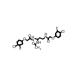 CC(=O)NC(CCNC(=O)COc1ccc(Cl)c(F)c1)CNC(=O)COc1ccc(Cl)c(F)c1